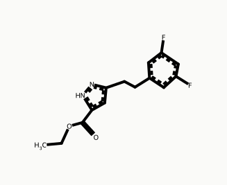 CCOC(=O)c1cc(CCc2cc(F)cc(F)c2)n[nH]1